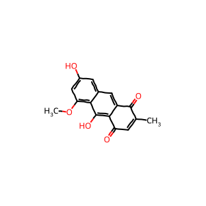 COc1cc(O)cc2cc3c(c(O)c12)C(=O)C=C(C)C3=O